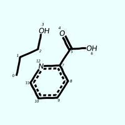 CCCO.O=C(O)c1ccccn1